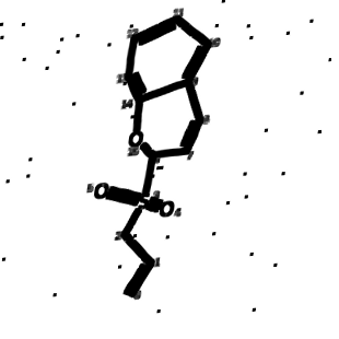 C=CCS(=O)(=O)C1C=Cc2ccccc2O1